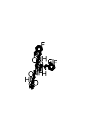 CN(C(=O)NCc1cccc(F)c1Cl)[C@H](CNC(=O)CNC(=O)OC(C)(C)C)COC(=O)Nc1cc2cc(F)ccc2cn1